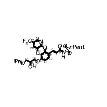 CCCCCS(=O)(=O)NC(=O)/C=C/c1ccc(OCC(O)COC(C)C)cc1Oc1ncc(C(F)(F)F)cc1Cl